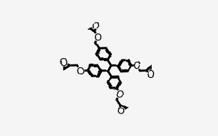 c1cc(C(c2ccc(OCC3CO3)cc2)C(c2ccc(OCC3CO3)cc2)c2ccc(OCC3CO3)cc2)ccc1COC1CO1